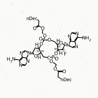 CCCCCCCCCCCC(=O)OCOP1(=O)CC[C@H]2O[C@@H](n3cnc4c(N)ncnc43)C[C@@H]2OP(=O)(OCOC(=O)CCCCCCCCCCC)OC[C@H]2O[C@@H](n3cnc4c(N)ncnc43)[C@H](F)[C@@H]2O1